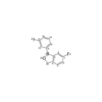 Fc1ccc2c(c1)B(c1cccc(I)c1)OC2